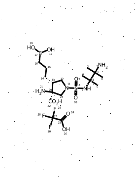 CC(C)(N)C(C)(C)NS(=O)(=O)N1C[C@@H](CCCB(O)O)[C@@](N)(C(=O)O)C1.O=C(O)C(F)(F)F